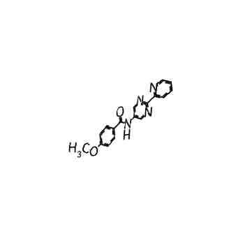 COc1ccc(C(=O)Nc2cnc(-c3ccccn3)nc2)cc1